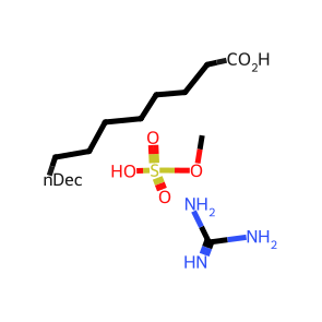 CCCCCCCCCCCCCCCCCC(=O)O.COS(=O)(=O)O.N=C(N)N